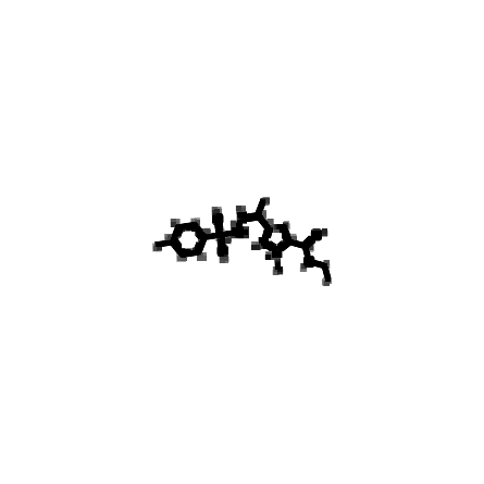 CCOC(=O)c1cc(C(C)=NNS(=O)(=O)c2ccc(C)cc2)nn1C